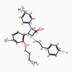 CCCCOc1cc(Br)ccc1[C@@H]1[C@@H](CCCc2ccc(F)cc2)C(=O)N1c1ccc(C)cc1